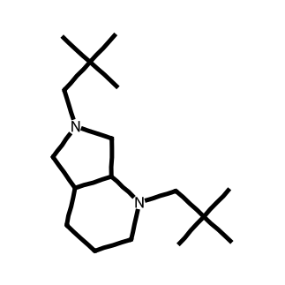 CC(C)(C)CN1CC2CCCN(CC(C)(C)C)C2C1